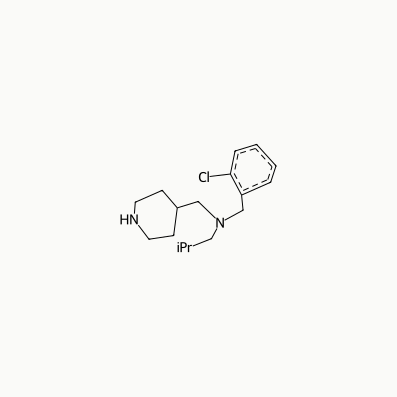 CC(C)CN(Cc1ccccc1Cl)CC1CCNCC1